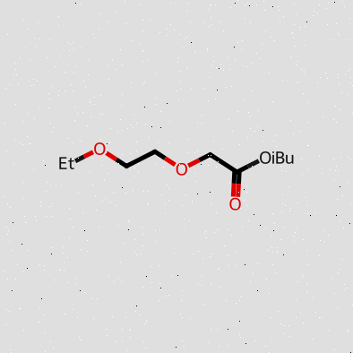 CCOCCOCC(=O)OCC(C)C